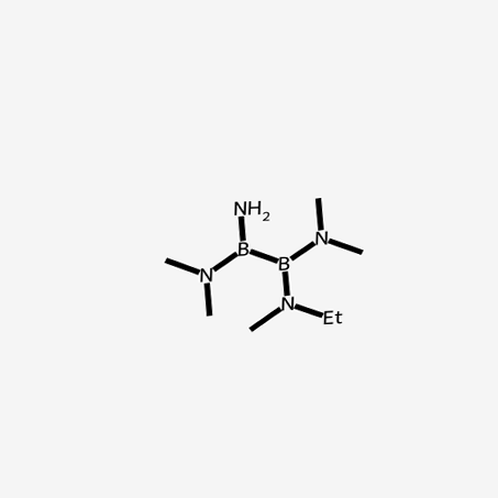 CCN(C)B(B(N)N(C)C)N(C)C